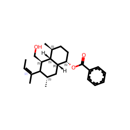 C/C=C(/C)C1[C@@H](CO)[C@H]2[C@@H](C[C@@H]1C)[C@@H](OC(=O)c1ccccc1)CC[C@@H]2C